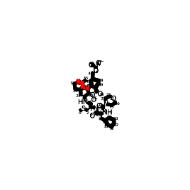 CSC[C@H](NC(=O)[C@H](Cc1ccccc1)NC(=O)N1CCOCC1)C(=O)N[C@@H](CC1CCCCC1)[C@H](OC(=O)c1ccc(CO[N+](=O)[O-])cc1)C(=O)OC(C)C